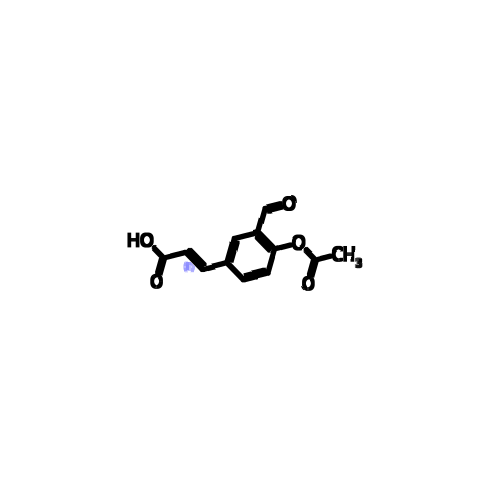 CC(=O)Oc1ccc(/C=C/C(=O)O)cc1C=O